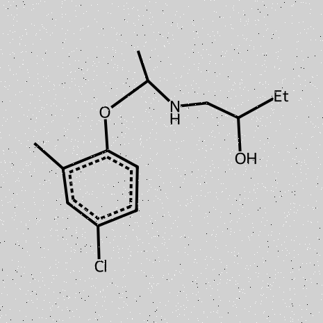 CCC(O)CNC(C)Oc1ccc(Cl)cc1C